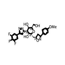 COc1ccc(C2=NO[C@@H](C[C@H]3O[C@H](CO)[C@H](O)[C@H](n4cc(-c5cc(F)c(F)c(F)c5)nn4)[C@H]3O)C2)cc1